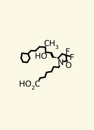 C[C@@H](CCCC1CCCCC1)[C@H](O)/C=C/[C@H]1CC(F)(F)C(=O)N1CCCCCCC(=O)O